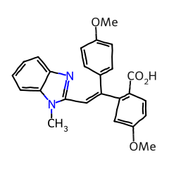 COc1ccc(C(=Cc2nc3ccccc3n2C)c2cc(OC)ccc2C(=O)O)cc1